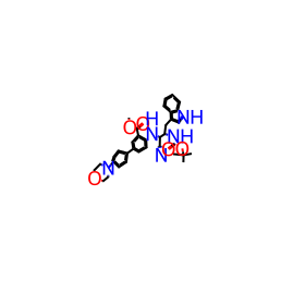 COC(=O)c1cc(-c2ccc(N3CCOCC3)cc2)ccc1NC(C#N)C(Cc1c[nH]c2ccccc12)NC(=O)OC(C)(C)C